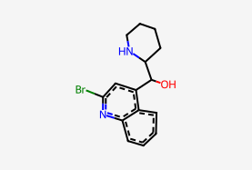 OC(c1cc(Br)nc2ccccc12)C1CCCCN1